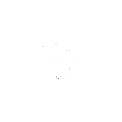 CNCCCO.COS(=O)(=O)O